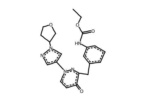 CCOC(=O)Nc1cccc(Cc2nn(-c3cnn(C4CCOC4)c3)ccc2=O)c1